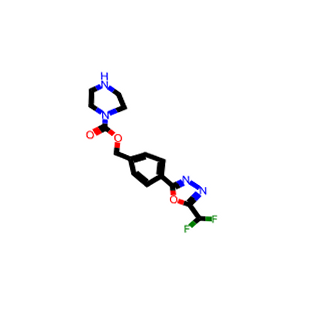 O=C(OCc1ccc(-c2nnc(C(F)F)o2)cc1)N1CCNCC1